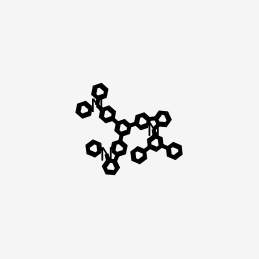 c1ccc(-c2cc(-c3ccccc3)cc(-n3c4ccccc4c4ccc(-c5cc(-c6ccc(N(c7ccccc7)c7ccccc7)cc6)cc(-c6ccc7c8ccccc8n(-c8ccccc8)c7c6)c5)cc43)c2)cc1